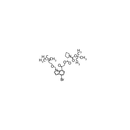 CC(C)(C)OC(=O)N1CCC[C@H]1C(=O)OCC(=O)c1ccc(Br)c2ccn(COCC[Si](C)(C)C)c12